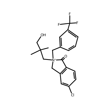 CC(C)(CO)C[N+]1(Cc2cccc(C(F)(F)F)c2)Cc2cc(Cl)ccc2C1=O